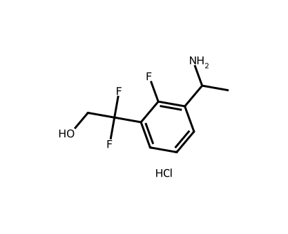 CC(N)c1cccc(C(F)(F)CO)c1F.Cl